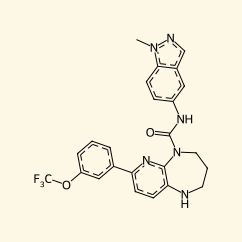 Cn1ncc2cc(NC(=O)N3CCCNc4ccc(-c5cccc(OC(F)(F)F)c5)nc43)ccc21